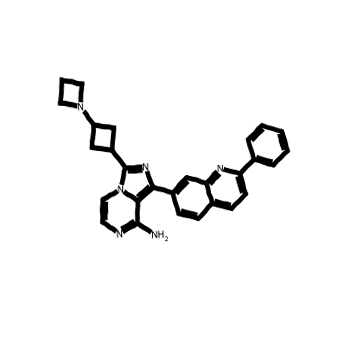 Nc1nccn2c(C3CC(N4CCC4)C3)nc(-c3ccc4ccc(-c5ccccc5)nc4c3)c12